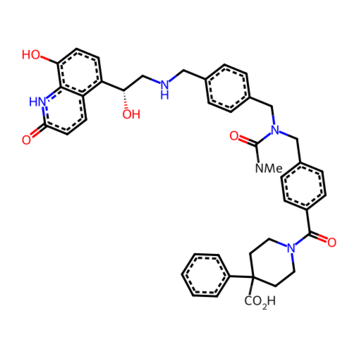 CNC(=O)N(Cc1ccc(CNC[C@H](O)c2ccc(O)c3[nH]c(=O)ccc23)cc1)Cc1ccc(C(=O)N2CCC(C(=O)O)(c3ccccc3)CC2)cc1